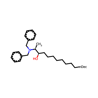 CCCCCCCCCCCCCCCCCC[C@@H](O)[C@H](C)N(Cc1ccccc1)Cc1ccccc1